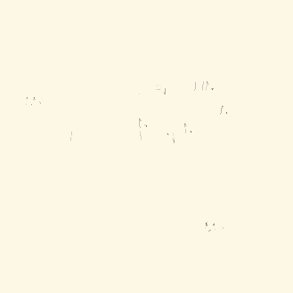 COc1ccc(Cn2nc(NC(=O)c3ccc(OC)c(Cl)c3)c(Br)c2-c2nc3ccccc3[nH]2)cc1